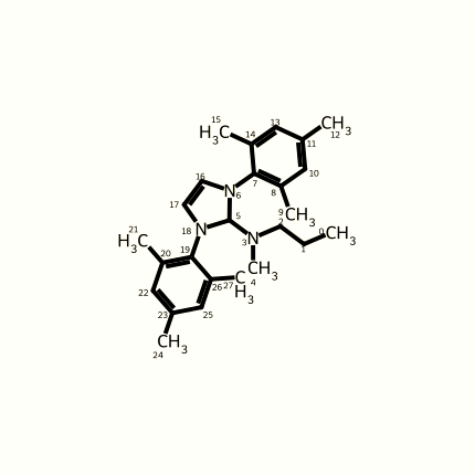 CCCN(C)C1N(c2c(C)cc(C)cc2C)C=CN1c1c(C)cc(C)cc1C